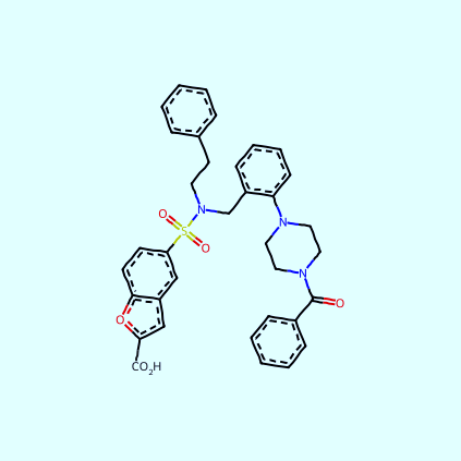 O=C(O)c1cc2cc(S(=O)(=O)N(CCc3ccccc3)Cc3ccccc3N3CCN(C(=O)c4ccccc4)CC3)ccc2o1